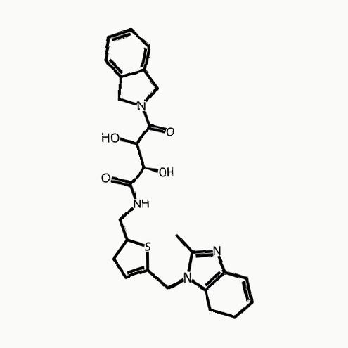 Cc1nc2c(n1CC1=CCC(CNC(=O)[C@H](O)C(O)C(=O)N3Cc4ccccc4C3)S1)CCC=C2